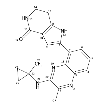 Cc1nc2cccc(-c3cc4c([nH]3)CCNC4=O)c2nc1NC1(C(F)(F)F)CC1